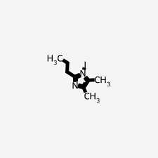 CCCc1nc(C)c(C)n1I